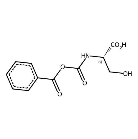 O=C(N[C@@H](CO)C(=O)O)OC(=O)c1ccccc1